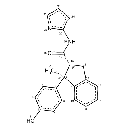 C[C@@]1(c2ccc(O)cc2)c2ccccc2C[C@H]1C(=O)Nc1nccs1